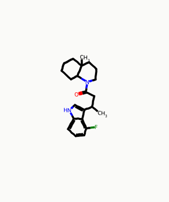 CC(CC(=O)N1CCCC2(C)CCCCC12)c1c[nH]c2cccc(F)c12